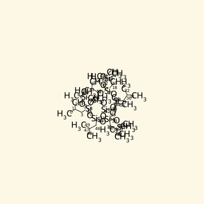 CC(C)C[Si]1(O[Si](C)(C)C)O[Si]2(CC(C)C)O[Si](CC(C)C)(O[Si](C)(C)C)O[Si]3(CC(C)C)O[Si](CC(C)C)(O[Si](C)(C)C)O[Si](CC(C)C)(O1)O[Si](CC(C)C)(O2)O3